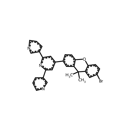 CC1(C)c2cc(Br)ccc2Oc2ccc(-c3cc(-c4cccnc4)nc(-c4cccnc4)c3)cc21